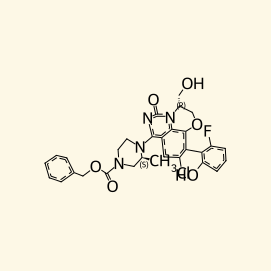 C[C@H]1CN(C(=O)OCc2ccccc2)CCN1c1nc(=O)n2c3c(c(-c4c(O)cccc4F)c(Cl)cc13)OC[C@H]2CO